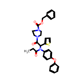 CCC(=O)N(c1ccc(Oc2ccccc2)cc1)C(C(=O)N1CCN(C(=O)OCc2ccccc2)CC1)c1cccs1